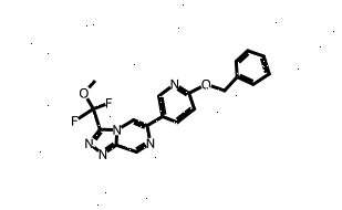 COC(F)(F)c1nnc2cnc(-c3ccc(OCc4ccccc4)nc3)cn12